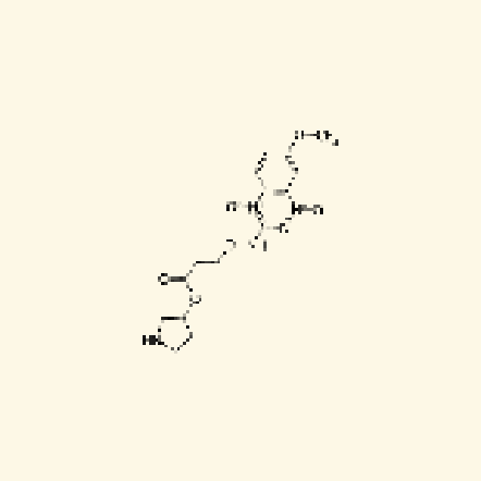 O=C(CCONc1n[n+]([O-])c2cc(OC(F)(F)F)ccc2[n+]1[O-])OC1CCNC1